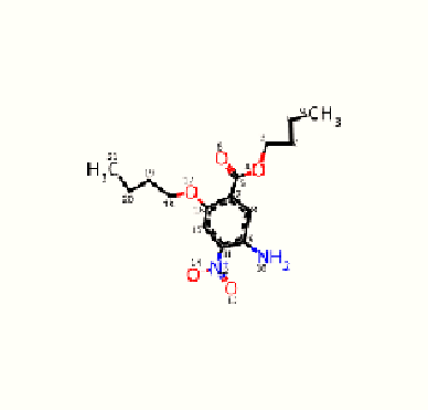 CCCCOC(=O)c1cc(N)c([N+](=O)[O-])cc1OCCCC